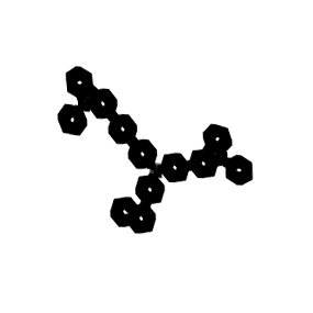 c1ccc(-n2c3ccccc3c3cc(-c4ccc(N(c5ccc(-c6ccc(-c7ccc8c9ccccc9n(-c9ccccc9)c8c7)cc6)cc5)c5ccc(-c6cccc7ccccc67)cc5)cc4)ccc32)cc1